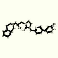 O=C1N(Cc2ccc(-c3ccnc(O)c3)cn2)CCN1CC(O)CN1CCc2ccccc2C1